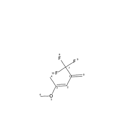 C=C(/C=C(\C)OC)C(F)(F)F